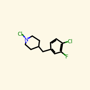 Fc1cc(CC2CCN(Cl)CC2)ccc1Cl